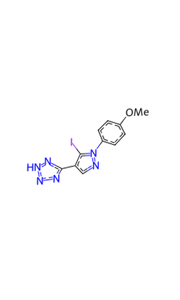 COc1ccc(-n2ncc(-c3nn[nH]n3)c2I)cc1